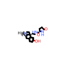 C[C@H]1[C@H]2Cc3ccc(O)cc3[C@@]1(CCNC(=O)[C@@H]1CCC(=O)N1)CCN2C